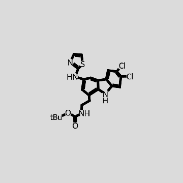 CC(C)(C)OC(=O)NCCc1cc(Nc2nccs2)cc2c1[nH]c1cc(Cl)c(Cl)cc12